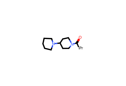 CC(C)C(=O)N1CCC(N2CCCCC2)CC1